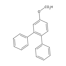 O=C(O)Oc1ccc(-c2ccccc2)c(-c2ccccc2)c1